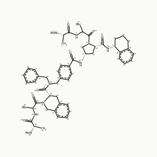 CN[C@@H](C)C(=O)NC(C(=O)N1C[C@@H](NC(=O)c2ccc(CN(Cc3ccccc3)C(=O)[C@@H]3Cc4ccccc4CN3C(=O)C(NC(=O)[C@H](C)NC)C(C)(C)C)cc2)C[C@H]1C(=O)N[C@@H]1CCCc2ccccc21)C(C)(C)C